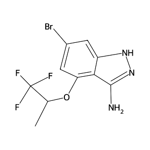 CC(Oc1cc(Br)cc2[nH]nc(N)c12)C(F)(F)F